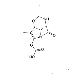 CC1=C(OC(=O)O)N2C(=O)C3NCOC1C32